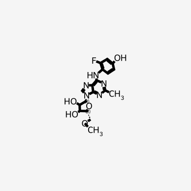 COC[C@H]1O[C@@H](n2cnc3c(Nc4ccc(O)cc4F)nc(C)nc32)C(O)C1O